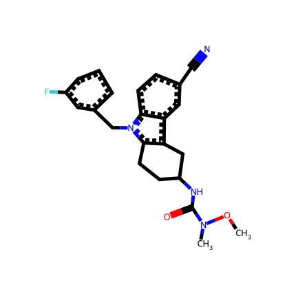 CON(C)C(=O)NC1CCc2c(c3cc(C#N)ccc3n2Cc2cccc(F)c2)C1